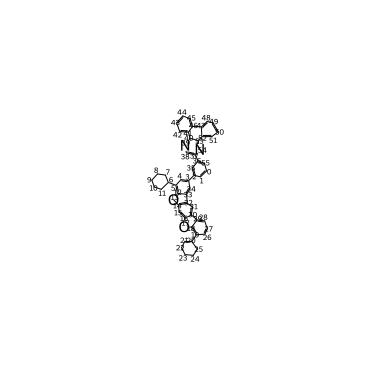 c1cc(-c2cc(C3CCCCC3)c3oc4cc5oc6c(C7CCCCC7)cccc6c5cc4c3c2)cc(-c2cnc3c4ccccc4c4ccccc4c3n2)c1